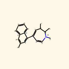 Cc1cc(C2=CC(C)C(C)N(C)C=C2)c2ccccc2c1